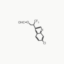 O=COCC(c1cnc2cc(Cl)ccc2c1)C(F)(F)F